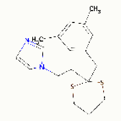 Cc1cc(C)cc(CC2(CCn3ccnc3)SCCCS2)c1